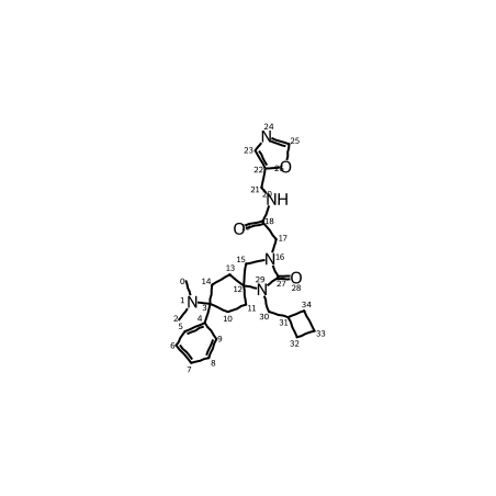 CN(C)C1(c2ccccc2)CCC2(CC1)CN(CC(=O)NCc1cnco1)C(=O)N2CC1CCC1